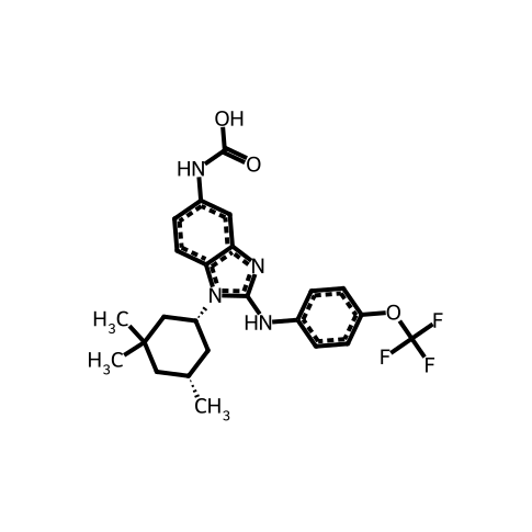 C[C@H]1C[C@@H](n2c(Nc3ccc(OC(F)(F)F)cc3)nc3cc(NC(=O)O)ccc32)CC(C)(C)C1